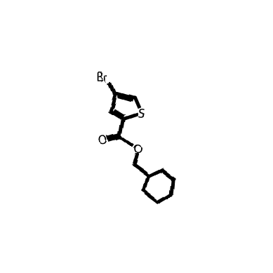 O=C(OCC1CCCCC1)c1cc(Br)cs1